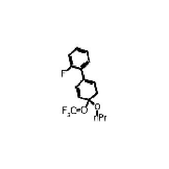 CCCOC1(OC(F)(F)F)C=CC(c2ccccc2F)=CC1